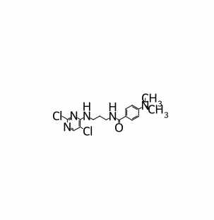 CN(C)c1ccc(C(=O)NCCCNc2nc(Cl)ncc2Cl)cc1